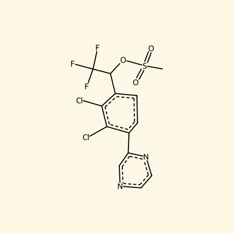 CS(=O)(=O)OC(c1ccc(-c2cnccn2)c(Cl)c1Cl)C(F)(F)F